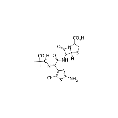 CC(C)(O/N=C(\C(=O)NC1C(=O)N2C(C(=O)O)CS[C@H]12)c1nc(N)sc1Cl)C(=O)O